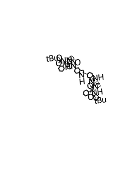 CC(C)(C)OC(=O)N[C@@H](C(=O)N1CCC[C@H]1C(=O)Nc1ccc2[nH]c(-c3ccc4[nH]c([C@@H]5CCCN5C(=O)[C@H](NC(=O)OC(C)(C)C)c5ccccc5)nc4c3)cc2c1)c1ccccc1